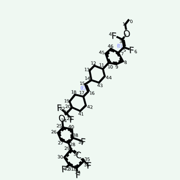 CCO/C(F)=C(\F)c1ccc(C2CCC(/C=C/C3CCC(C(F)(F)Oc4ccc(-c5cc(F)c(F)c(F)c5)c(F)c4)CC3)CC2)cc1